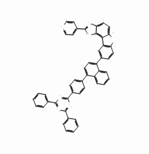 c1ccc(-c2nc(-c3ccccc3)nc(-c3ccc(-c4ccc(-c5ccc6oc7ccc8nc(-c9ccncc9)oc8c7c6c5)c5ccccc45)cc3)n2)cc1